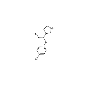 COC[C@H](Oc1ccc(Cl)cc1C)C1CCNC1